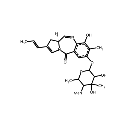 C/C=C/C1=CN2C(=O)c3cc(OC4OC(C)C(NC)C(C)(O)C4O)c(C)c(O)c3N=C[C@@H]2C1